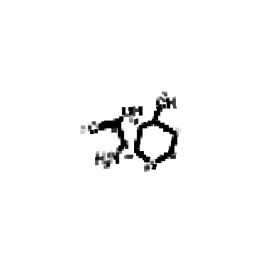 NCC(=O)O.OC1CCSCC1